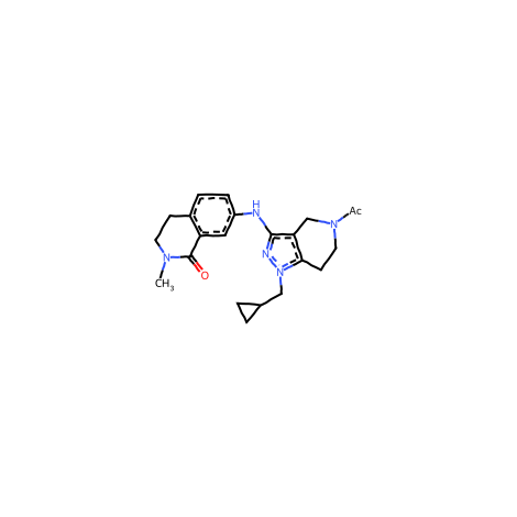 CC(=O)N1CCc2c(c(Nc3ccc4c(c3)C(=O)N(C)CC4)nn2CC2CC2)C1